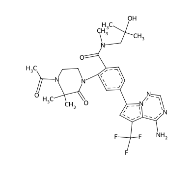 CC(=O)N1CCN(c2cc(-c3cc(C(F)(F)F)c4c(N)ncnn34)ccc2C(=O)N(C)CC(C)(C)O)C(=O)C1(C)C